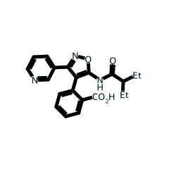 CCC(CC)C(=O)Nc1onc(-c2cccnc2)c1-c1ccccc1C(=O)O